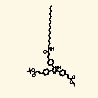 CCCCCCCCCCCCCCCCNC(=O)C=Cc1ccc(-c2[nH]c(-c3ccc(C=CC(=O)OCC)cc3)nc2-c2ccc(C=CC(=O)OC(C)(C)C)cc2)cc1